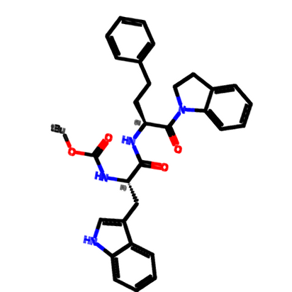 CC(C)(C)OC(=O)N[C@@H](Cc1c[nH]c2ccccc12)C(=O)N[C@@H](CCc1ccccc1)C(=O)N1CCc2ccccc21